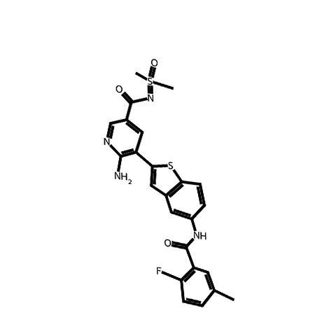 Cc1ccc(F)c(C(=O)Nc2ccc3sc(-c4cc(C(=O)N=S(C)(C)=O)cnc4N)cc3c2)c1